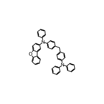 c1ccc(N(c2ccccc2)c2ccc(Cc3ccc(N(c4ccccc4)c4ccc5oc6ccccc6c5c4)cc3)cc2)cc1